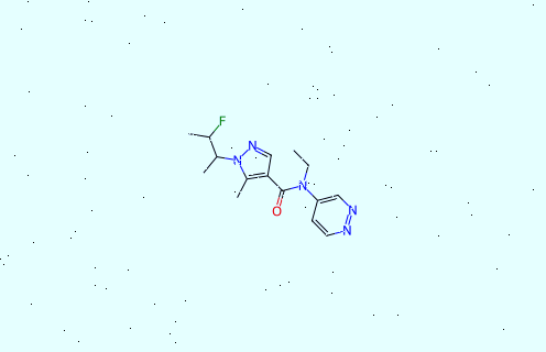 CCN(C(=O)c1cnn(C(C)C(C)F)c1C)c1ccnnc1